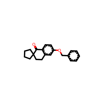 O=C1c2ccc(OCc3ccccc3)cc2CCC12CCCC2